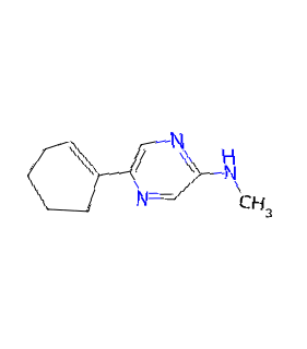 CNc1cnc(C2=CCCCC2)cn1